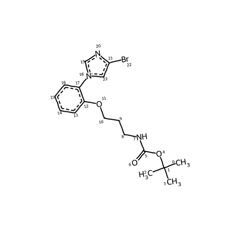 CC(C)(C)OC(=O)NCCCOc1ccccc1-n1cnc(Br)c1